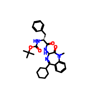 CN1C(=O)[C@H](NC(=O)[C@@H](Cc2ccccc2)NC(=O)OC(C)(C)C)N=C(C2CCCCC2)c2ccccc21